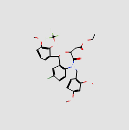 CCOC(=O)CC1OC(c2cccc(OC)c2OC(F)(F)F)c2cc(Cl)ccc2N(Cc2ccc(OC)cc2OC)C1=O